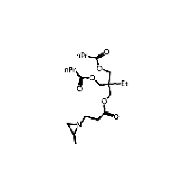 CCCC(=O)OCC(CC)(COC(=O)CCC)COC(=O)CCN1CC1C